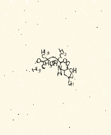 CC(=O)C(C)(C)CC(C)(C)C(=O)NC(CC(=O)O)C(=O)O